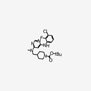 CN(CC1CCN(C(=O)OC(C)(C)C)CC1)c1cc(Nc2cccc(Cl)c2F)ncn1